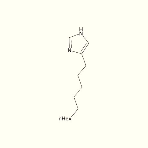 CCCCCCCCCCCc1c[nH]cn1